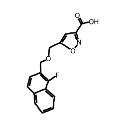 O=C(O)c1cc(COCc2ccc3ccccc3c2F)on1